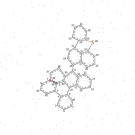 c1ccc(-c2ccccc2-c2c3ccccc3c(-c3ccc4c5c(cccc35)Sc3ccccc3-4)c3ccccc23)cc1